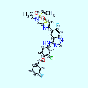 CCN(Cc1nc(-c2cc3c(Nc4ccc(OCc5cccc(F)c5)c(Cl)c4)ncnc3cc2F)cs1)S(=O)(=O)CC